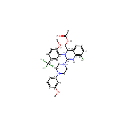 COc1cccc(N2CCN(C3=Nc4c(F)cccc4C(COC(C)=O)N3c3cc(C(F)(F)F)ccc3OC)CC2)c1